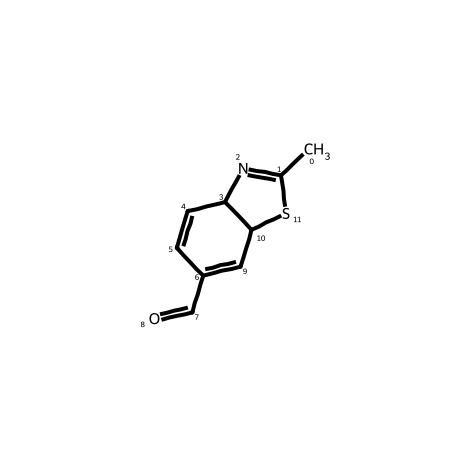 CC1=NC2C=CC(C=O)=CC2S1